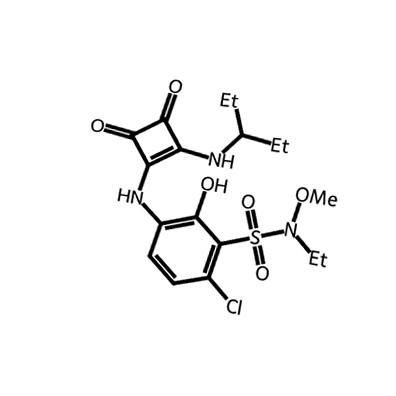 CCC(CC)Nc1c(Nc2ccc(Cl)c(S(=O)(=O)N(CC)OC)c2O)c(=O)c1=O